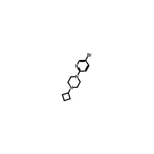 Brc1ccc(N2CCN(C3CCC3)CC2)nc1